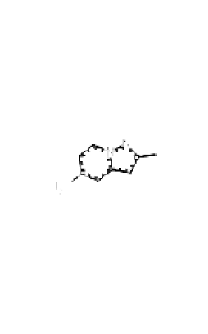 Cc1ccn2nc(I)cc2c1